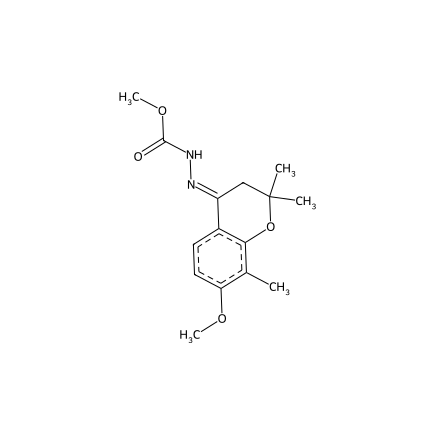 COC(=O)NN=C1CC(C)(C)Oc2c1ccc(OC)c2C